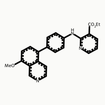 CCOC(=O)c1cccnc1Nc1ccc(-c2ccc(OC)c3cnccc23)cc1